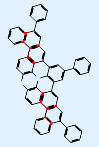 c1ccc(-c2ccc(-c3ccc4c(c3)N(c3c(-c5ccc(-c6ccccc6)cc5)cc(-c5ccccc5)cc3-c3ccc(-c5ccccc5)cc3)c3cc(-c5ccc(-c6ccccc6)cc5)ccc3O4)cc2)cc1